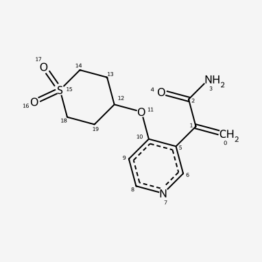 C=C(C(N)=O)c1cnccc1OC1CCS(=O)(=O)CC1